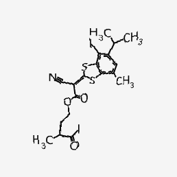 Cc1cc(C(C)C)c(I)c2c1S/C(=C(/C#N)C(=O)OCCC(C)C(=O)I)S2